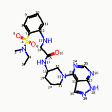 CCN(C)S(=O)(=O)c1ccccc1NCC(=O)N[C@@H]1CCCN(c2ncnc3[nH]ncc23)C1